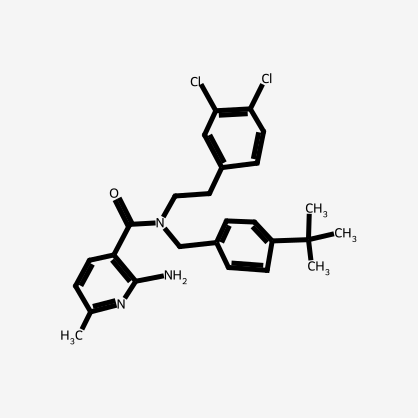 Cc1ccc(C(=O)N(CCc2ccc(Cl)c(Cl)c2)Cc2ccc(C(C)(C)C)cc2)c(N)n1